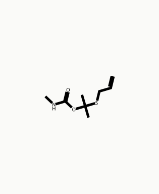 C=CCSC(C)(C)OC(=O)NC